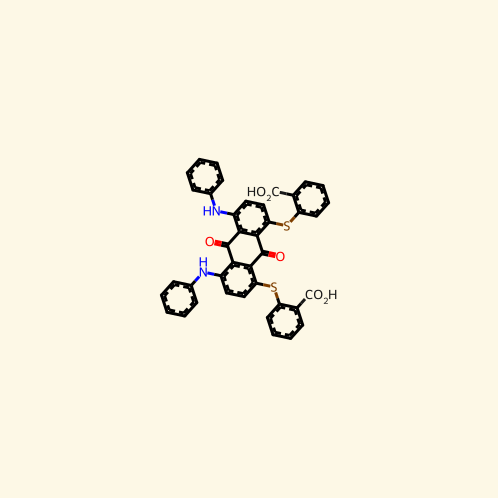 O=C(O)c1ccccc1Sc1ccc(Nc2ccccc2)c2c1C(=O)c1c(Sc3ccccc3C(=O)O)ccc(Nc3ccccc3)c1C2=O